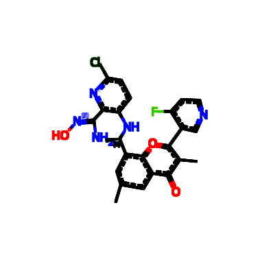 Cc1cc([C@@H](C)Nc2ccc(Cl)nc2/C(N)=N/O)c2oc(-c3cnccc3F)c(C)c(=O)c2c1